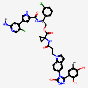 CC(C)Nc1cc(-c2c[nH]c(C(=O)N[C@H](COC(=O)C3(NC(=O)CCn4ccc5cc(-n6c(O)nnc6-c6cc(C(C)C)c(O)cc6O)ccc54)CC3)c3cccc(Cl)c3)c2)c(Cl)cn1